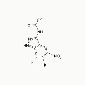 CCCC(=O)Nc1n[nH]c2c(F)c(F)c([N+](=O)[O-])cc12